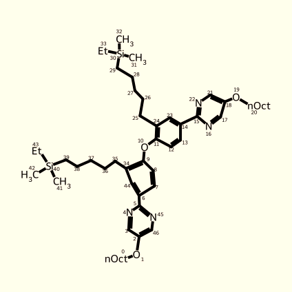 CCCCCCCCOc1cnc(-c2ccc(Oc3ccc(-c4ncc(OCCCCCCCC)cn4)cc3CCCCC[Si](C)(C)CC)c(CCCCC[Si](C)(C)CC)c2)nc1